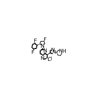 Fc1ccc(F)c([C@H]2C[C@H](F)CN2c2ccc3ncc(Cl)c(-c4cnn([C@@H]5CCCNC5)c4)c3n2)c1